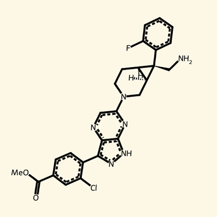 COC(=O)c1ccc(-c2n[nH]c3nc(N4CC[C@@H]5[C@H](C4)[C@@]5(CN)c4ccccc4F)cnc23)c(Cl)c1